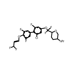 CCCC1CCC(C(F)(F)Oc2cc(F)c(-c3cc(F)c(O/C=C/C(F)F)c(F)c3)c(Cl)c2)OC1